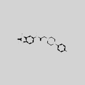 Cn1c(=O)[nH]c2ccc(NC(=O)CN3CCN(c4ccc(Cl)cc4)CC3)cc21